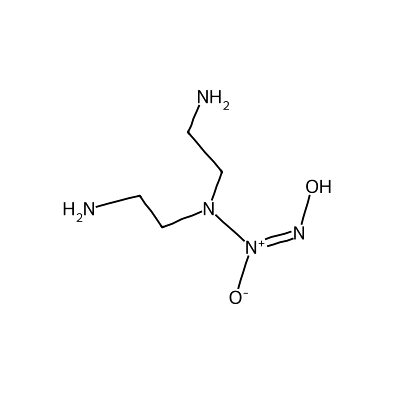 NCCN(CCN)/[N+]([O-])=N\O